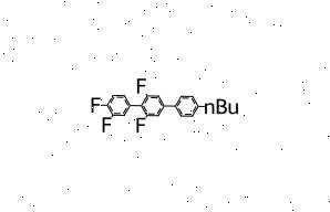 CCCCc1ccc(-c2cc(F)c(-c3ccc(F)c(F)c3)c(F)c2)cc1